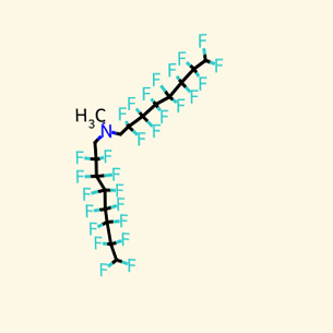 CN(CC(F)(F)C(F)(F)C(F)(F)C(F)(F)C(F)(F)C(F)(F)C(F)F)CC(F)(F)C(F)(F)C(F)(F)C(F)(F)C(F)(F)C(F)(F)C(F)F